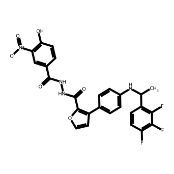 CC(Nc1ccc(-c2ccoc2C(=O)NNC(=O)c2ccc(O)c([N+](=O)[O-])c2)cc1)c1ccc(F)c(F)c1F